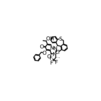 CC(O)c1cn2c(c(OCc3ccccc3)c1=O)C(=O)N([C@H](C)C(F)(F)F)CN2[C@@H]1c2ccccc2SCc2cccc(Cl)c21